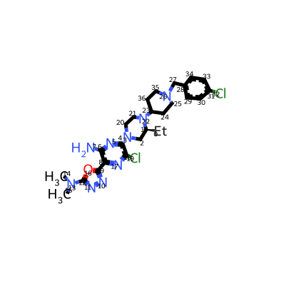 CC[C@H]1CN(c2nc(N)c(-c3nnc(N(C)C)o3)nc2Cl)CCN1C1CCN(Cc2ccc(Cl)cc2)CC1